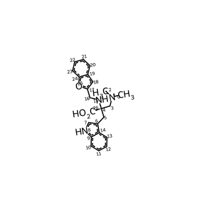 CN(C)C[C@](Cc1c[nH]c2ccccc12)(NCc1cc2ccccc2o1)C(=O)O